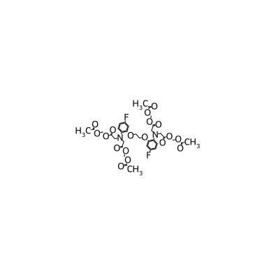 CC(=O)OCOC(=O)CN(CC(=O)OCOC(C)=O)c1ccc(F)cc1OCCOc1cc(F)ccc1N(CC(=O)OCOC(C)=O)CC(=O)OCOC(C)=O